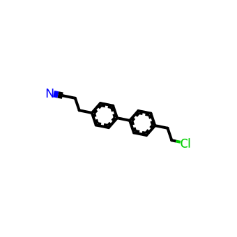 N#CCCc1ccc(-c2ccc(CCCl)cc2)cc1